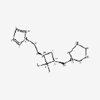 CC1(C)[C@@H](CCn2cccn2)C[C@H]1CN1CCCCC1